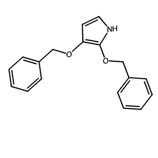 c1ccc(COc2cc[nH]c2OCc2ccccc2)cc1